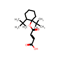 CC(C)(C)C1CCCCC1(OC(=O)C=CC(=O)O)C(C)(C)C